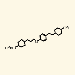 CCCCCC1CCC(CCCOc2ccc(CCC3CCC(CCC)CC3)cc2)CC1